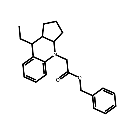 CCC1c2ccccc2N(CC(=O)OCc2ccccc2)C2CCCC12